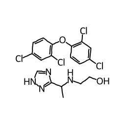 CC(NCCO)c1nc[nH]n1.Clc1ccc(Oc2ccc(Cl)cc2Cl)c(Cl)c1